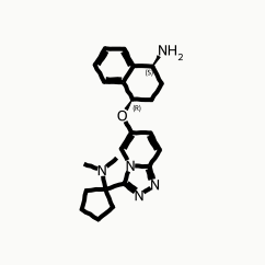 CN(C)C1(c2nnc3ccc(O[C@@H]4CC[C@H](N)c5ccccc54)cn23)CCCC1